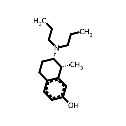 CCCN(CCC)[C@H]1CCc2ccc(O)cc2[C@H]1C